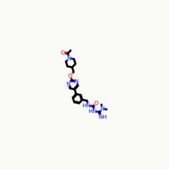 CC(=O)N1CCC(COc2ncc(-c3cccc(CNC(=O)NC(=N)N(C)C)c3)cn2)CC1